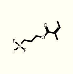 CC=C(C)C(=O)OCCC[Si](F)(F)F